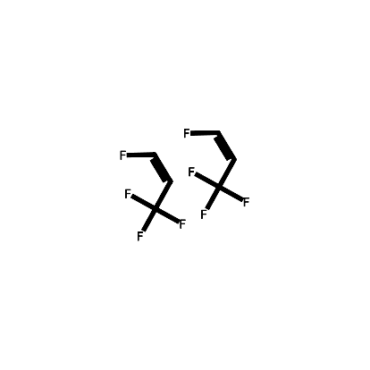 F/C=C\C(F)(F)F.F/C=C\C(F)(F)F